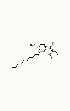 CCCCCCCCCCN1CCC=C(C(=O)N(CC)CC)C1.Cl